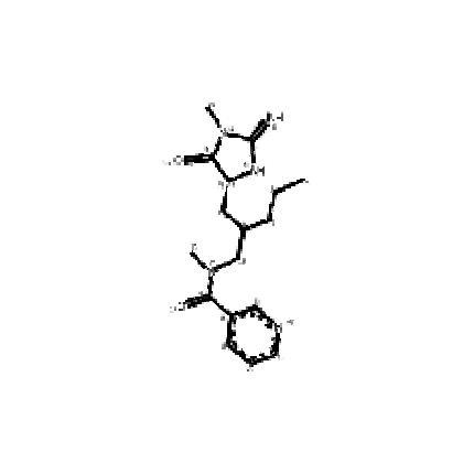 CCCC(C[C@@H]1NC(=N)N(C)C1=O)CN(C)C(=O)c1cccnc1